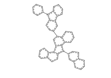 c1ccc(-n2c3ccccc3c3cc(-c4cc5c6c7ccccc7ccc6n(-c6ccc7ccccc7c6)c5c5ccccc45)ccc32)cc1